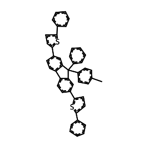 Cc1ccc(C2(c3ccccc3)c3cc(-c4ccc(-c5ccccc5)s4)ccc3-c3ccc(-c4ccc(-c5ccccc5)s4)cc32)cc1